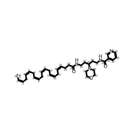 CC/C=C\C/C=C\C/C=C\C/C=C\C/C=C\C/C=C\CCC(=O)NCCC(CCNC(=O)c1cccnc1)N1CCOCC1